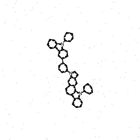 c1ccc(-n2c3ccccc3c3cc(-c4cccc(-n5ccc6cc7c(ccc8c9ccccc9n(-c9ccccc9)c78)cc65)c4)ccc32)cc1